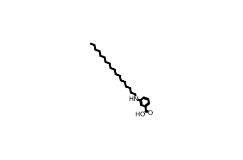 CCCCCCCCCCCCCCCCCCNc1cccc(C(=O)O)c1